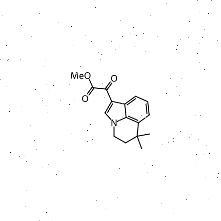 COC(=O)C(=O)c1cn2c3c(cccc13)C(C)(C)CC2